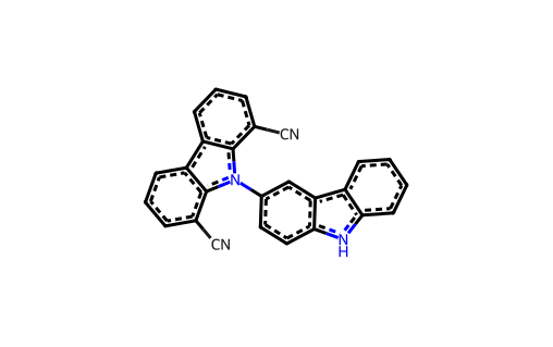 N#Cc1cccc2c3cccc(C#N)c3n(-c3ccc4[nH]c5ccccc5c4c3)c12